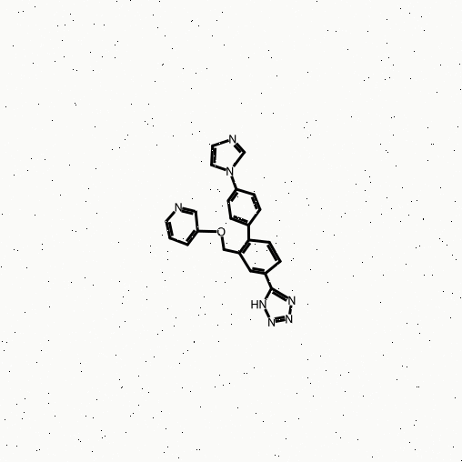 c1cncc(OCc2cc(-c3nnn[nH]3)ccc2-c2ccc(-n3ccnc3)cc2)c1